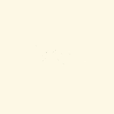 NS(=O)(=O)OC1[C@H]2O[C@@H](n3cnc4c(-c5cccc(C(F)(F)F)c5)ncnc43)[C@H](O)[C@@]12O